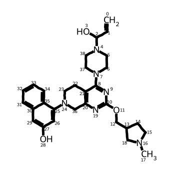 C=CC(O)N1CCN(c2nc(OCC3CCN(C)C3)nc3c2CCN(c2cc(O)cc4ccccc24)C3)CC1